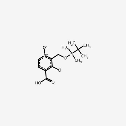 CC(C)(C)[Si](C)(C)OCc1c(Cl)c(C(=O)O)cc[n+]1[O-]